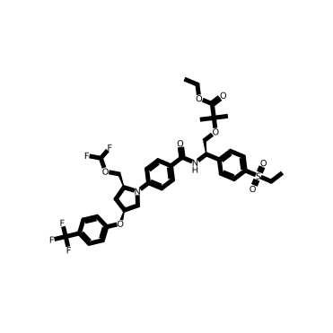 CCOC(=O)C(C)(C)OC[C@H](NC(=O)c1ccc(N2C[C@@H](Oc3ccc(C(F)(F)F)cc3)C[C@H]2COC(F)F)cc1)c1ccc(S(=O)(=O)CC)cc1